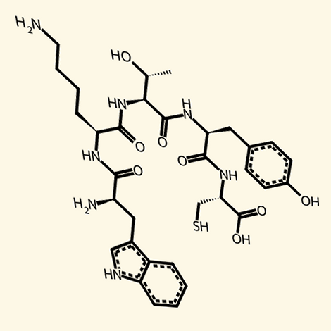 C[C@@H](O)[C@H](NC(=O)[C@H](CCCCN)NC(=O)[C@H](N)Cc1c[nH]c2ccccc12)C(=O)N[C@@H](Cc1ccc(O)cc1)C(=O)N[C@@H](CS)C(=O)O